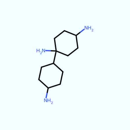 NC1CCC(C2(N)CCC(N)CC2)CC1